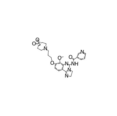 COc1c(OCCCN2CCS(=O)(=O)CC2)ccc2c1N=C(NC(=O)c1cccnc1)N1CCN=C21